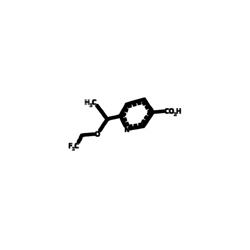 CC(OCC(F)(F)F)c1ccc(C(=O)O)cn1